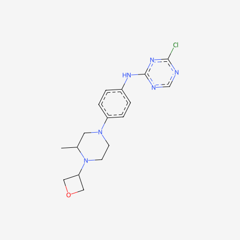 CC1CN(c2ccc(Nc3ncnc(Cl)n3)cc2)CCN1C1COC1